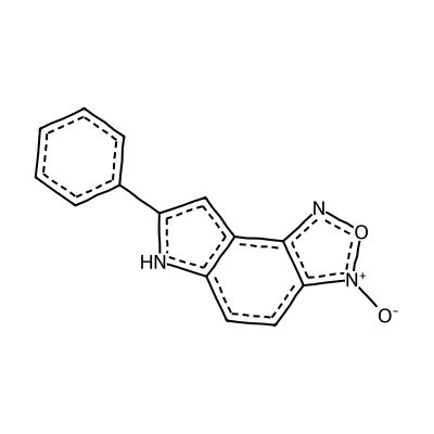 [O-][n+]1onc2c3cc(-c4ccccc4)[nH]c3ccc21